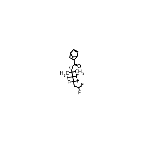 CC(C)(OC(=O)C1CC2C=CC1C2)C(F)(F)C(F)(F)CC(F)F